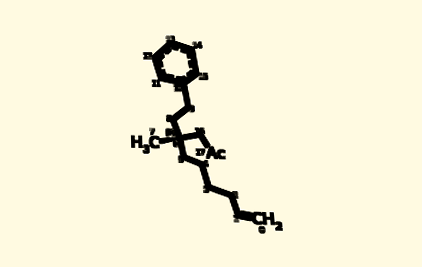 C=CCCCC[C@](C)(CCc1ccccc1)CC(C)=O